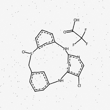 O=C(O)C(F)(F)F.[O-][S+]1Cc2cccc(c2)Nc2nc(ncc2Cl)Nc2cccc1c2